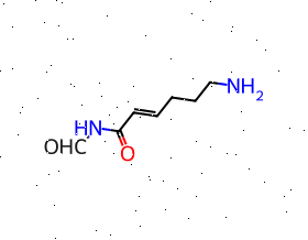 NCCCC=CC(=O)NC=O